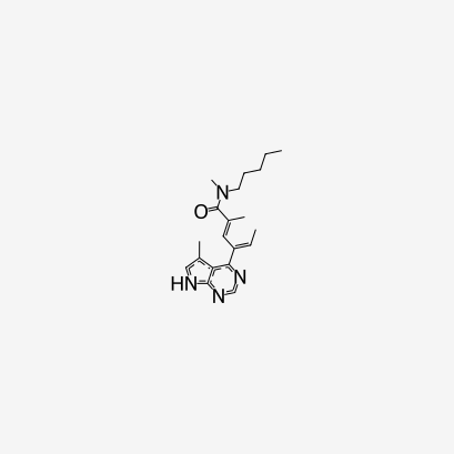 C/C=C(\C=C(/C)C(=O)N(C)CCCCC)c1ncnc2[nH]cc(C)c12